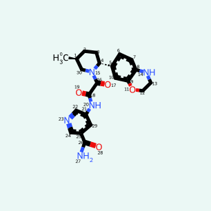 C[C@H]1CC[C@H](c2ccc3c(c2)OCCN3)N(C(=O)C(=O)Nc2cncc(C(N)=O)c2)C1